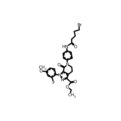 CCOC(=O)c1nn(-c2ccc(OC)cc2F)c2c1CCN(c1ccc(NC(=O)CCCCBr)cc1)C2=O